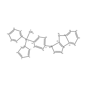 C[Si](c1ccccc1)(c1ccccc1)c1ccc(-n2ccc3c4ccccc4oc32)cc1